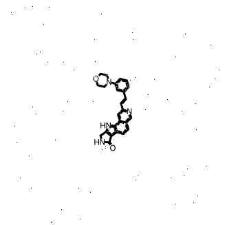 O=C1NCc2[nH]c3c(ccc4cnc(/C=C/c5cccc(N6CCOCC6)c5)cc43)c21